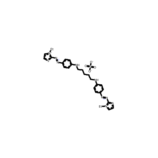 CC[n+]1ccsc1/N=N/c1ccc(NCCCCCNc2ccc(/N=N/c3scc[n+]3CC)cc2)cc1.O=S(=O)([O-])[O-]